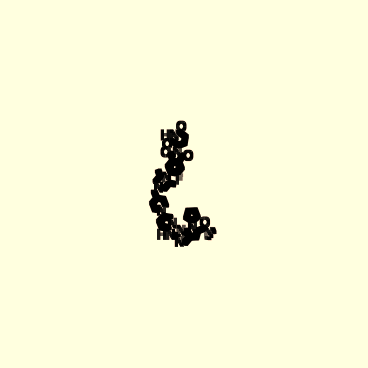 CC1CN(CC2CCN(c3ccc(Nc4ncc5cc(C(=O)N(C)C)n(C6CCCC6)c5n4)nc3)CC2)CC(C)N1c1cc2c(cc1F)C(=O)N(C1CCC(=O)NC1=O)C2=O